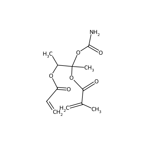 C=CC(=O)OC(C)C(C)(OC(N)=O)OC(=O)C(=C)C